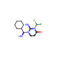 N=C(C1CCCCC1)n1ccc(=O)n(C(F)F)c1=N